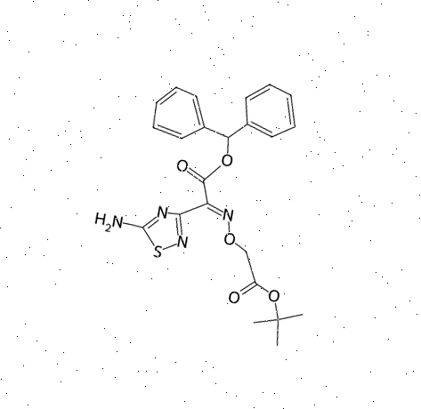 CC(C)(C)OC(=O)CON=C(C(=O)OC(c1ccccc1)c1ccccc1)c1nsc(N)n1